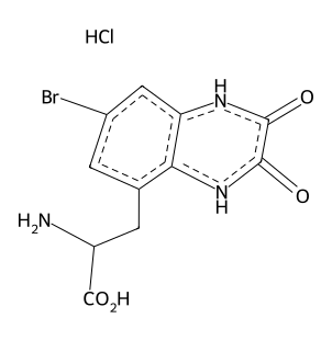 Cl.NC(Cc1cc(Br)cc2[nH]c(=O)c(=O)[nH]c12)C(=O)O